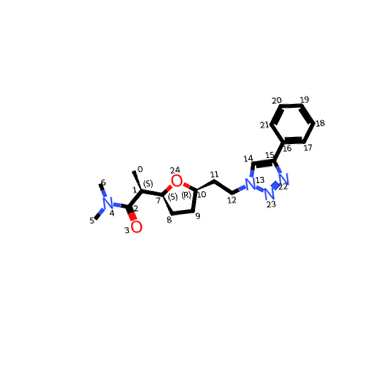 C[C@H](C(=O)N(C)C)[C@@H]1CC[C@H](CCn2cc(-c3ccccc3)nn2)O1